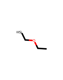 CCOC[SiH]